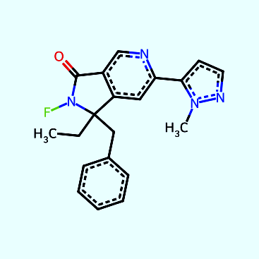 CCC1(Cc2ccccc2)c2cc(-c3ccnn3C)ncc2C(=O)N1F